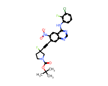 CC(C)(C)OC(=O)N1CCC(F)(C#Cc2cc3ncnc(Nc4cccc(Cl)c4F)c3cc2[N+](=O)[O-])C1